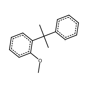 COc1ccccc1C(C)(C)c1[c]cccc1